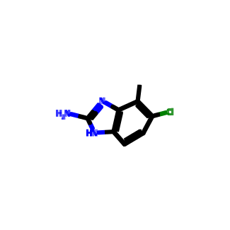 Cc1c(Cl)ccc2[nH]c(N)nc12